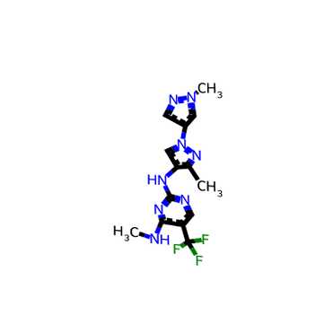 CNc1nc(Nc2cn(-c3cnn(C)c3)nc2C)ncc1C(F)(F)F